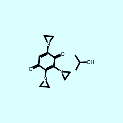 CC(C)O.O=C1C=C(N2CC2)C(=O)C(N2CC2)=C1N1CC1